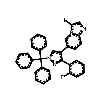 Fc1ccccc1-c1nn(C(c2ccccc2)(c2ccccc2)c2ccccc2)cc1-c1ccc2ncc(I)n2c1